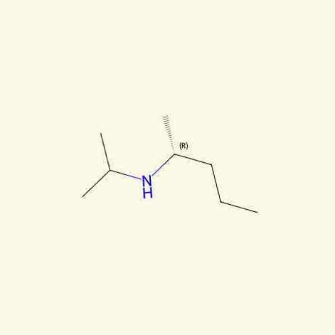 CCC[C@@H](C)NC(C)C